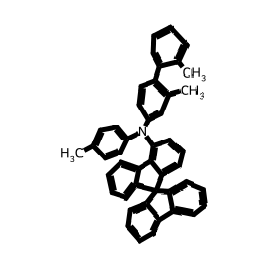 Cc1ccc(N(c2ccc(-c3ccccc3C)c(C)c2)c2cccc3c2-c2ccccc2C32c3ccccc3-c3ccccc32)cc1